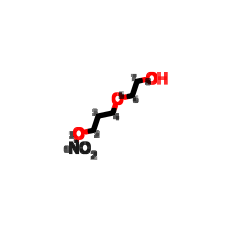 O=[N+]([O-])OCCCOCCO